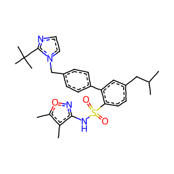 Cc1onc(NS(=O)(=O)c2ccc(CC(C)C)cc2-c2ccc(Cn3ccnc3C(C)(C)C)cc2)c1C